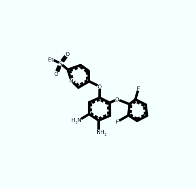 CCS(=O)(=O)c1ccc(Oc2cc(N)c(N)cc2Oc2c(F)cccc2F)cn1